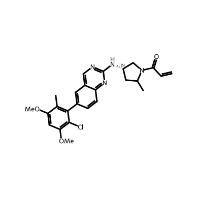 C=CC(=O)N1C[C@@H](Nc2ncc3cc(-c4c(C)c(OC)cc(OC)c4Cl)ccc3n2)CC1C